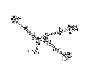 COCC(CO)CCCCNC(=O)C[C@H](CCC(=O)NCCOCCOCC(=O)NCCCCCO[C@@H]1OC(CO)[C@@H](O)[C@H](O)C1O)NC(=O)C[C@H](CCC(=O)NCCOCCOCC(=O)NCCCCCO[C@@H]1OC(CO)[C@@H](O)[C@H](O)C1O)NC(=O)CNC(=O)COCCOCCNC(=O)CCCCO[C@@H]1OC(CO)[C@@H](O)[C@H](O)C1O